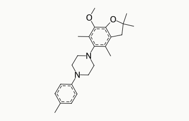 COc1c(C)c(N2CCN(c3ccc(C)cc3)CC2)c(C)c2c1OC(C)(C)C2